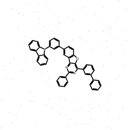 c1ccc(-c2cccc(-c3nc(-c4ccccc4)nc4c3oc3ccc(-c5cccc(-n6c7ccccc7c7ccccc76)c5)cc34)c2)cc1